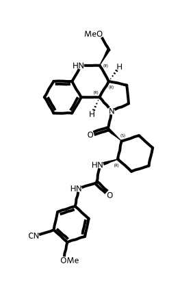 [C-]#[N+]c1cc(NC(=O)N[C@@H]2CCCC[C@@H]2C(=O)N2CC[C@@H]3[C@H](COC)Nc4ccccc4[C@@H]32)ccc1OC